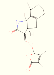 CC1=C(C)C(O/C=C2/C(=O)N[C@@H]3C4=C(CCCC4(C)C)C[C@H]23)OC1=O